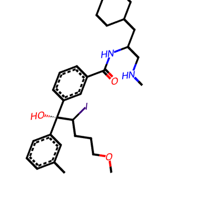 CNCC(CC1CCCCC1)NC(=O)c1cccc([C@](O)(c2cccc(C)c2)C(I)CCCOC)c1